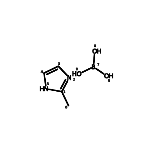 Cc1ncc[nH]1.OB(O)O